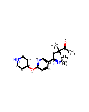 C/N=C(\CC(C)(C)C(C)=O)c1ccc(OC2CCNCC2)nc1